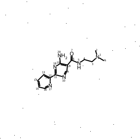 CN(C)CCNC(=O)c1cnc(-c2ccccn2)nc1N